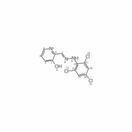 Oc1cccnc1C=NNc1c(Cl)cc(Cl)cc1Cl